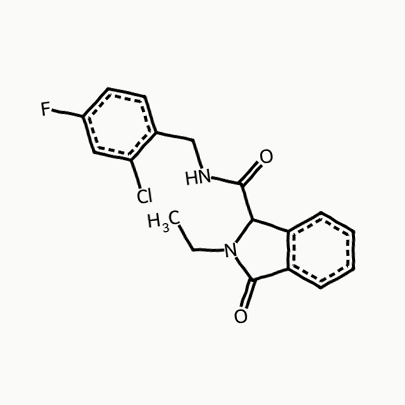 CCN1C(=O)c2ccccc2C1C(=O)NCc1ccc(F)cc1Cl